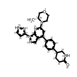 C[C@@H]1COCCN1c1cc(-c2ccc(C3CCC(=O)NC3)cc2)c2cnn(-c3cc[nH]n3)c2n1